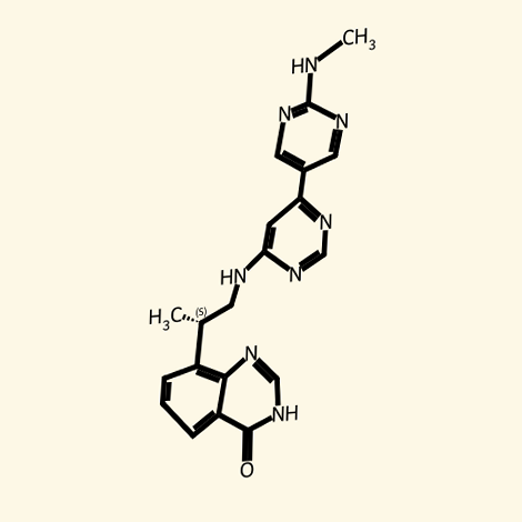 CNc1ncc(-c2cc(NC[C@@H](C)c3cccc4c(=O)[nH]cnc34)ncn2)cn1